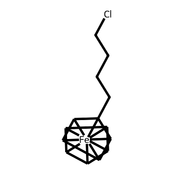 ClCCCC[C]12[CH]3[CH]4[CH]5[CH]1[Fe]45321678[CH]2[CH]1[CH]6[CH]7[CH]28